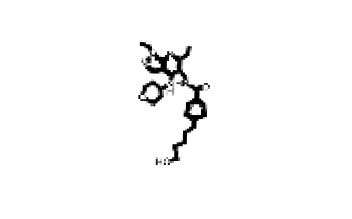 CCc1nc2c(cnn2CC)c(NC2CCOCC2)c1CNC(=O)c1ccc(CCCCCO)cc1